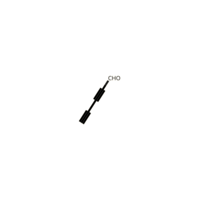 C#CC#CC=O